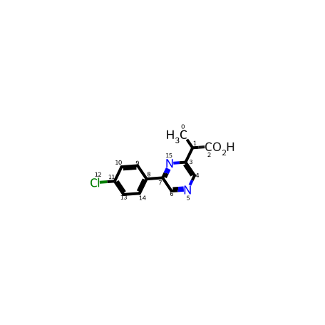 CC(C(=O)O)c1cncc(-c2ccc(Cl)cc2)n1